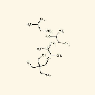 CCC(C)C.CCC(C)C.CCC(C)C.CCC(CO)(CO)CO